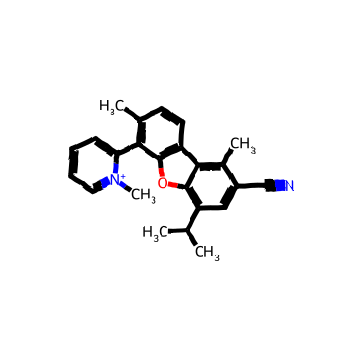 Cc1ccc2c(oc3c(C(C)C)cc(C#N)c(C)c32)c1-c1cccc[n+]1C